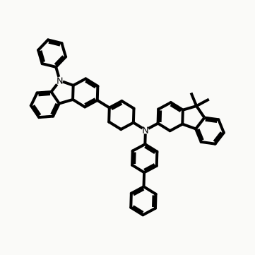 CC1(C)C2=CC=C(N(c3ccc(-c4ccccc4)cc3)C3CC=C(C4=CC5c6ccccc6N(c6ccccc6)C5C=C4)CC3)CC2c2ccccc21